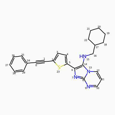 C(#Cc1ccc(-c2nc3ncccn3c2NCC2CCCCC2)s1)c1ccccc1